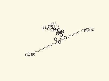 CCCCCCCCCCCCCCCCCCCCC(=O)O[C@H](COCCCCCCCCCCCCCCCCCC)COP(=O)([O-])OCC[N+](C)(C)C